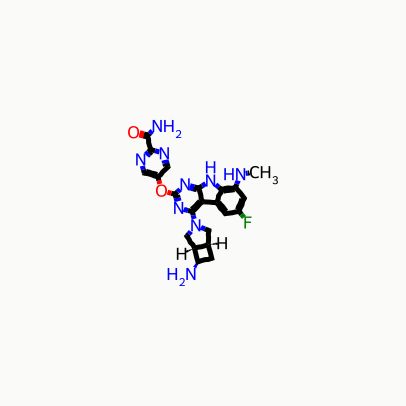 CNc1cc(F)cc2c1[nH]c1nc(Oc3cnc(C(N)=O)nc3)nc(N3C[C@H]4C[C@@H](N)[C@H]4C3)c12